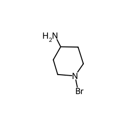 NC1CCN(Br)CC1